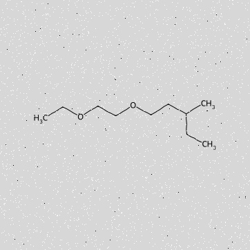 CCOCCOCCC(C)CC